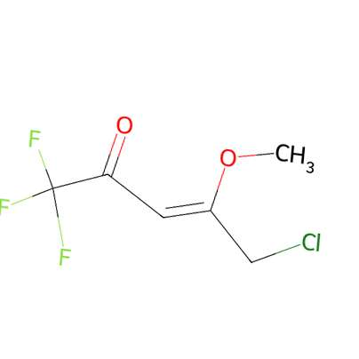 CO/C(=C\C(=O)C(F)(F)F)CCl